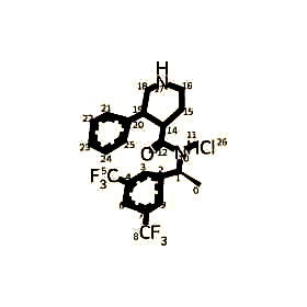 C[C@@H](c1cc(C(F)(F)F)cc(C(F)(F)F)c1)N(C)C(=O)C1CCNCC1c1ccccc1.Cl